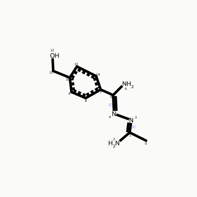 C/C(N)=N/N=C(\N)c1ccc(CO)cc1